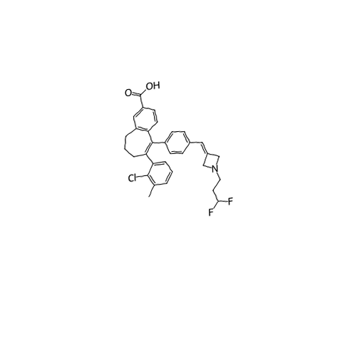 Cc1cccc(C2=C(c3ccc(C=C4CN(CCC(F)F)C4)cc3)c3ccc(C(=O)O)cc3CCC2)c1Cl